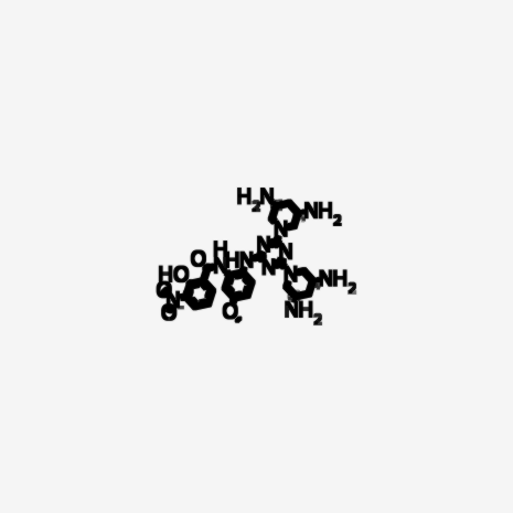 COc1ccc(Nc2nc(N3C[C@H](N)C[C@H](N)C3)nc(N3C[C@H](N)C[C@H](N)C3)n2)c(NC(=O)c2cccc([N+](=O)[O-])c2O)c1